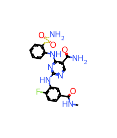 CNC(=O)c1ccc(F)c(Nc2ncc(C(N)=O)c(Nc3ccccc3S(N)(=O)=O)n2)c1